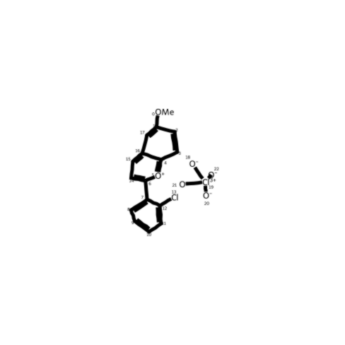 COc1ccc2[o+]c(-c3ccccc3Cl)ccc2c1.[O-][Cl+3]([O-])([O-])[O-]